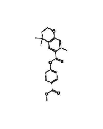 COC(=O)c1ccc(OC(=O)c2cc3c(cc2C)OCCC3(C)C)cc1